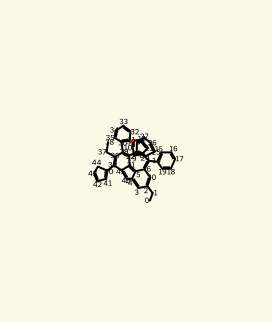 CCc1cc2c(c(=C(c3ccccc3)c3ccccc3)c1)=c1c(-c3ccccc3)c(-c3ccccc3)c(CC)c(C3=CC=CC3)c1=[C]2